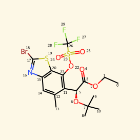 CCOC(=O)[C@@H](OC(C)(C)C)c1c(C)cc2nc(Br)sc2c1OS(=O)(=O)C(F)(F)F